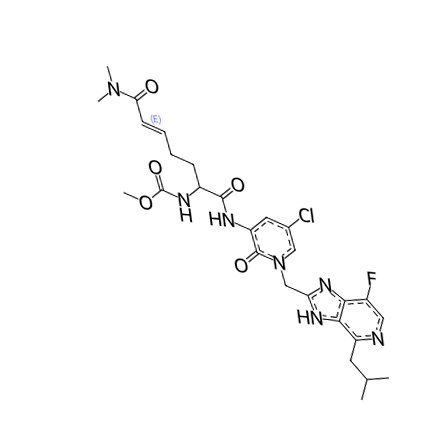 COC(=O)NC(CC/C=C/C(=O)N(C)C)C(=O)Nc1cc(Cl)cn(Cc2nc3c(F)cnc(CC(C)C)c3[nH]2)c1=O